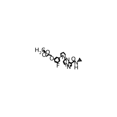 C=C1OCC(COc2cc(F)cc([C@H]3CCCN3c3ccn4ncc(C(=O)NC5CC5)c4n3)c2)O1